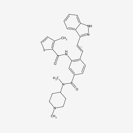 Cc1ccsc1C(=O)Nc1cc(C(=O)N(C)C2CCN(C)CC2)ccc1/C=C/c1n[nH]c2ccccc12